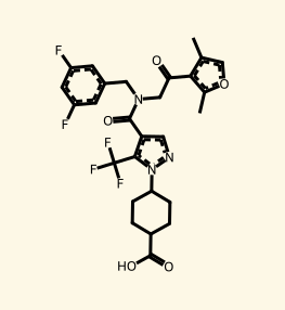 Cc1coc(C)c1C(=O)CN(Cc1cc(F)cc(F)c1)C(=O)c1cnn(C2CCC(C(=O)O)CC2)c1C(F)(F)F